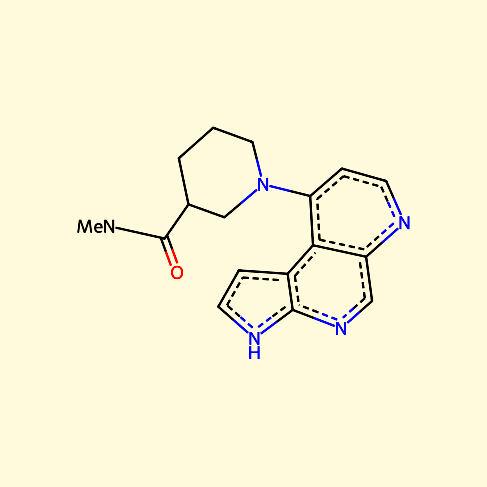 CNC(=O)C1CCCN(c2ccnc3cnc4[nH]ccc4c23)C1